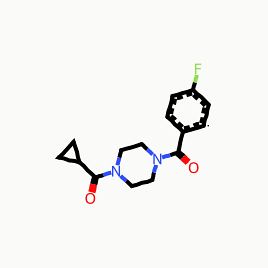 O=C(c1[c]cc(F)cc1)N1CCN(C(=O)C2CC2)CC1